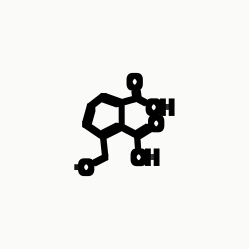 [O]Cc1cccc(C(=O)O)c1C(=O)O